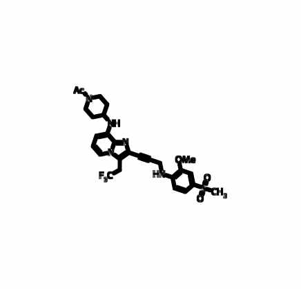 COc1cc(S(C)(=O)=O)ccc1NCC#Cc1nc2c(NC3CCN(C(C)=O)CC3)cccn2c1CC(F)(F)F